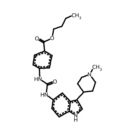 CCCCOC(=O)c1ccc(NC(=O)Nc2ccc3[nH]cc(C4CCN(C)CC4)c3c2)cc1